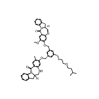 COc1cc2c(cc1OCc1cc(COc3cc4c(cc3C)C(=O)N3c5ccccc5C[C@H]3CN4)cc(CSCCOCCC(C)C)c1)N=C[C@@H]1Cc3ccccc3N1C2=O